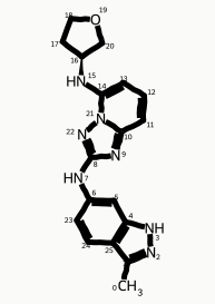 Cc1n[nH]c2cc(Nc3nc4cccc(N[C@H]5CCOC5)n4n3)ccc12